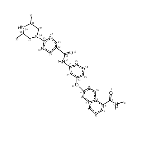 CNC(=O)c1cccc2cc(Oc3ccnc(NC(=O)c4cnc(N5CC(C)NC(C)C5)nc4)c3)ccc12